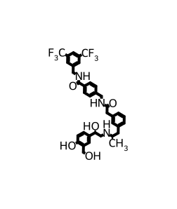 C[C@H](Cc1cccc(CC(=O)NCc2ccc(C(=O)NCc3cc(C(F)(F)F)cc(C(F)(F)F)c3)cc2)c1)NC[C@H](O)c1ccc(O)c(CO)c1